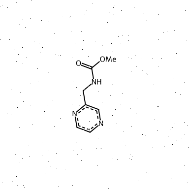 COC(=O)NCc1cnccn1